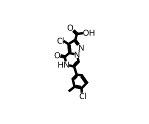 Cc1cc(-c2cn3nc(C(=O)O)c(Cl)c3c(=O)[nH]2)ccc1Cl